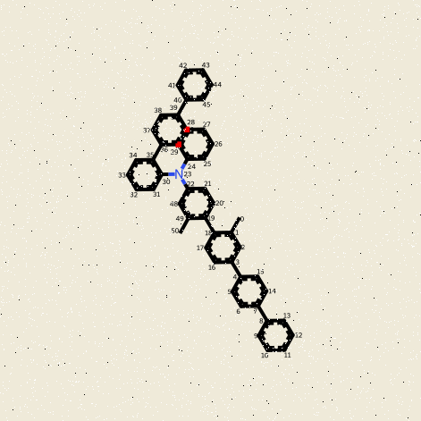 Cc1cc(-c2ccc(-c3ccccc3)cc2)ccc1-c1ccc(N(c2ccccc2)c2ccccc2-c2ccc(-c3ccccc3)cc2)cc1C